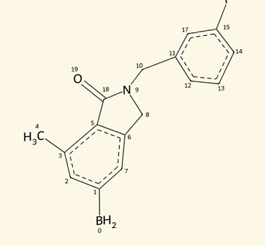 Bc1cc(C)c2c(c1)CN(Cc1cccc(F)c1)C2=O